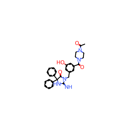 CC(=O)N1CCN(C(=O)c2cc(O)cc(CN3C(=N)NC(c4ccccc4)(c4ccccc4)C3=O)c2)CC1